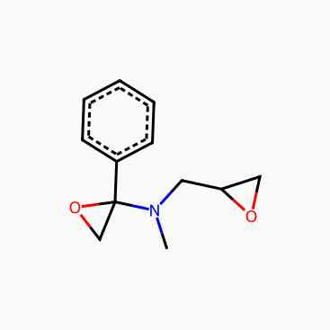 CN(CC1CO1)C1(c2ccccc2)CO1